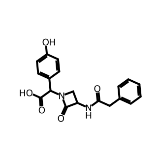 O=C(Cc1ccccc1)NC1CN(C(C(=O)O)c2ccc(O)cc2)C1=O